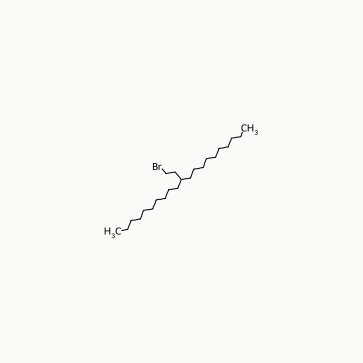 CCCCCCCCCCC(CCBr)CCCCCCCCCC